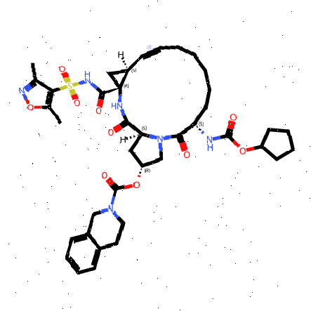 Cc1noc(C)c1S(=O)(=O)NC(=O)[C@@]12C[C@H]1/C=C\CCCCC[C@H](NC(=O)OC1CCCC1)C(=O)N1C[C@H](OC(=O)N3CCc4ccccc4C3)C[C@H]1C(=O)N2